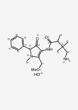 COCc1c(NC(=O)C(C)C(C)(C)CN)c(=O)n(-c2ccccc2)n1C.Cl